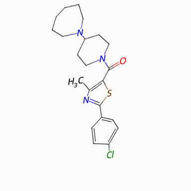 Cc1nc(-c2ccc(Cl)cc2)sc1C(=O)N1CCC(N2CCCCCC2)CC1